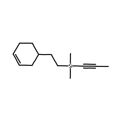 CC#C[Si](C)(C)CCC1CC=CCC1